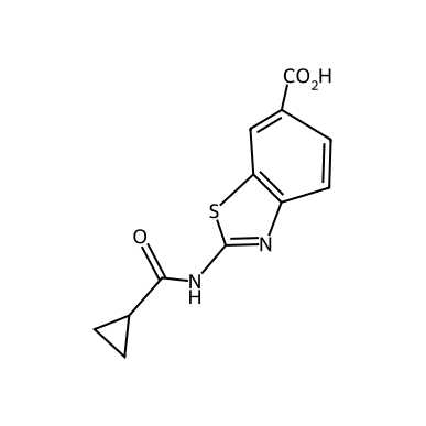 O=C(O)c1ccc2nc(NC(=O)C3CC3)sc2c1